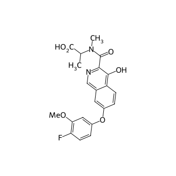 COc1cc(Oc2ccc3c(O)c(C(=O)N(C)C(C)C(=O)O)ncc3c2)ccc1F